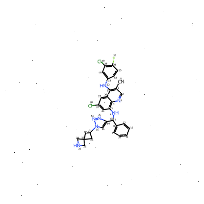 N#Cc1cnc2c(N[C@@H](c3ccccc3)c3cn(C4CC5(CNC5)C4)nn3)cc(Cl)cc2c1Nc1ccc(F)c(Cl)c1